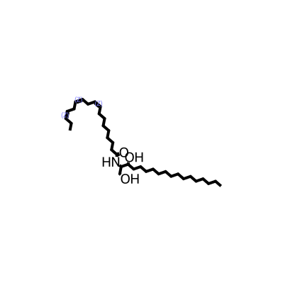 CC/C=C\C/C=C\C/C=C\CCCCCCCC(=O)NC(CO)C(O)CCCCCCCCCCCCCCC